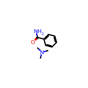 CN(C)C.NC(=O)c1ccccc1